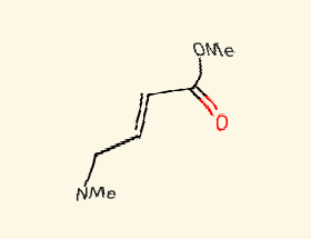 CNCC=CC(=O)OC